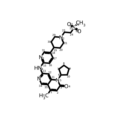 Cc1cc(=O)n(C2CCCC2)c2cc(Nc3ccc(C4CCN(CCS(C)(=O)=O)CC4)cn3)ncc12